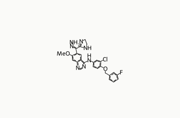 COc1cc2ncnc(Nc3ccc(OCc4cccc(F)c4)c(Cl)c3)c2cc1C(=NN)C1=NCCN1